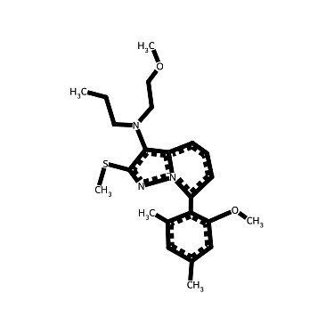 CCCN(CCOC)c1c(SC)nn2c(-c3c(C)cc(C)cc3OC)cccc12